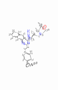 COc1ccc(C=Cc2nc(NCCCN3CCOCC3)c3cc4ccccc4cc3n2)cc1